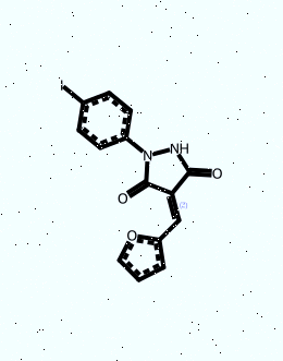 O=C1NN(c2ccc(I)cc2)C(=O)/C1=C\c1ccco1